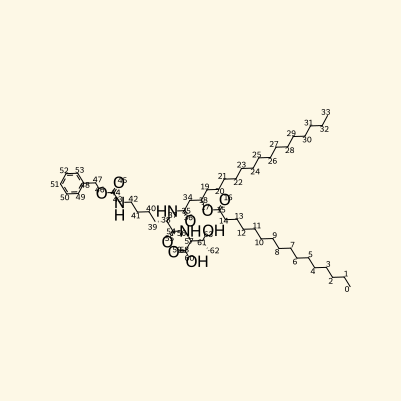 CCCCCCCCCCCCCCCC(=O)OC(CCCCCCCCCCCCCCC)CC(=O)N[C@@H](CCCCNC(=O)OCc1ccccc1)C(=O)N[C@H](C(=O)O)[C@@H](C)O